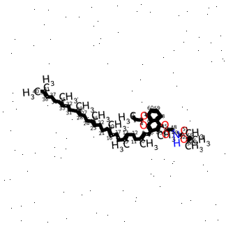 CCC(=O)Oc1c(C/C=C(\C)CC/C=C(\C)CC/C=C(\C)CC/C=C(\C)CC/C=C(\C)CC/C=C(\C)CCC=C(C)C)c(C)c(OC(=O)CNC(=O)OC(C)(C)C)c2ccccc12